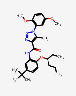 CCC[C@H](CC)Oc1ccc(C(C)(C)C)cc1NC(=O)c1nnn(-c2cc(OC)ccc2OC)c1C